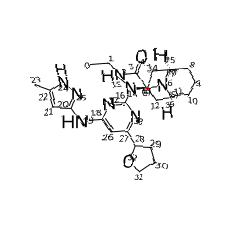 CCNC(=O)CN1[C@@H]2CCC[C@H]1C[C@@H](N(C)c1nc(Nc3cc(C)[nH]n3)cc(C3CCCO3)n1)C2